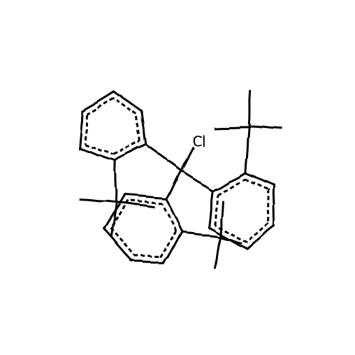 CC(C)(C)c1ccccc1C(Cl)(c1ccccc1C(C)(C)C)c1ccccc1C(C)(C)C